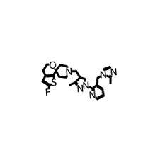 CC1=NN(c2ncccc2Cn2ccnc2C)CC1CN1CCC2(CC1)OCCc1cc(F)sc12